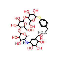 CC1OC(OC2C(CO)OC(OC3C(CO)OC(Sc4ccc(CC(=O)O)cc4)C(O)C3O)C(O)C2O)C(O)C(O)C1NC1C=C(CO)C(O)C(O)C1O